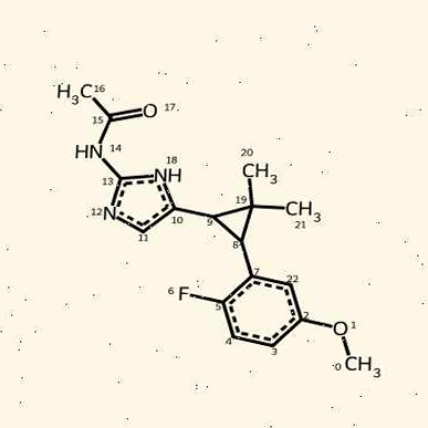 COc1ccc(F)c(C2C(c3cnc(NC(C)=O)[nH]3)C2(C)C)c1